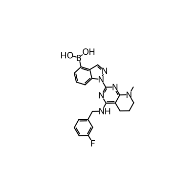 CN1CCCc2c(NCc3cccc(F)c3)nc(-n3ncc4c(B(O)O)cccc43)nc21